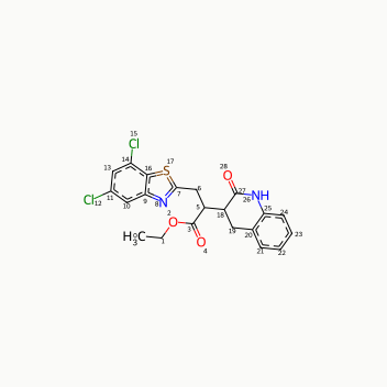 CCOC(=O)C(Cc1nc2cc(Cl)cc(Cl)c2s1)C1Cc2ccccc2NC1=O